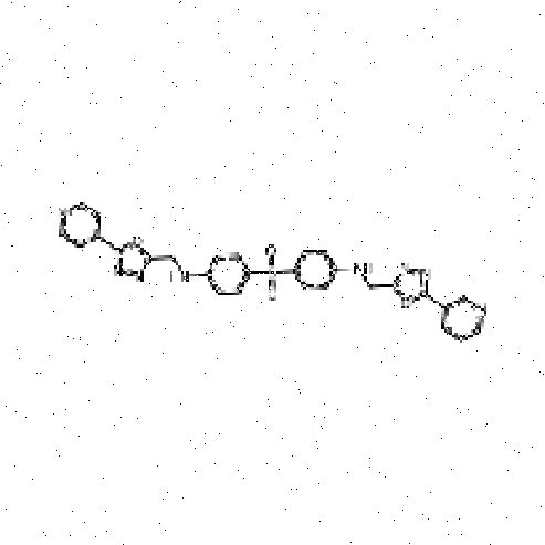 O=S(=O)(c1ccc(NCc2nnc(-c3ccncc3)o2)cc1)c1ccc(NCc2nnc(-c3cccnc3)o2)cc1